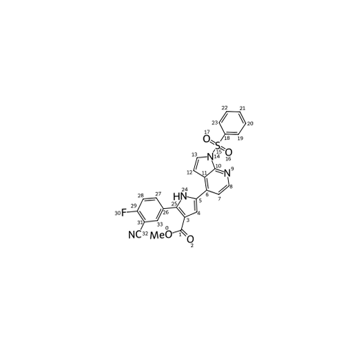 COC(=O)c1cc(-c2ccnc3c2ccn3S(=O)(=O)c2ccccc2)[nH]c1-c1ccc(F)c(C#N)c1